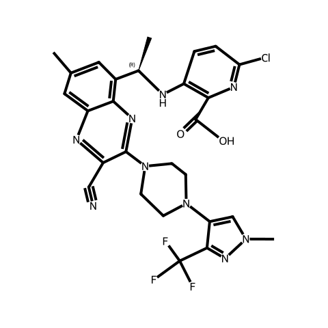 Cc1cc([C@@H](C)Nc2ccc(Cl)nc2C(=O)O)c2nc(N3CCN(c4cn(C)nc4C(F)(F)F)CC3)c(C#N)nc2c1